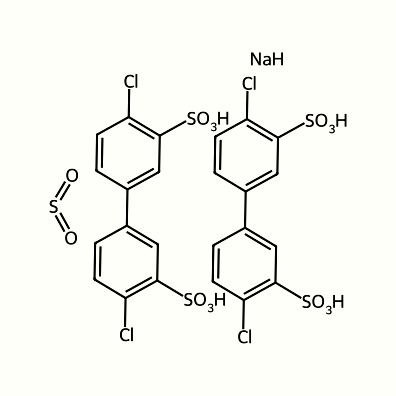 O=S(=O)(O)c1cc(-c2ccc(Cl)c(S(=O)(=O)O)c2)ccc1Cl.O=S(=O)(O)c1cc(-c2ccc(Cl)c(S(=O)(=O)O)c2)ccc1Cl.O=S=O.[NaH]